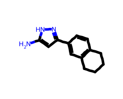 Nc1cc(-c2ccc3c(c2)CCCC3)n[nH]1